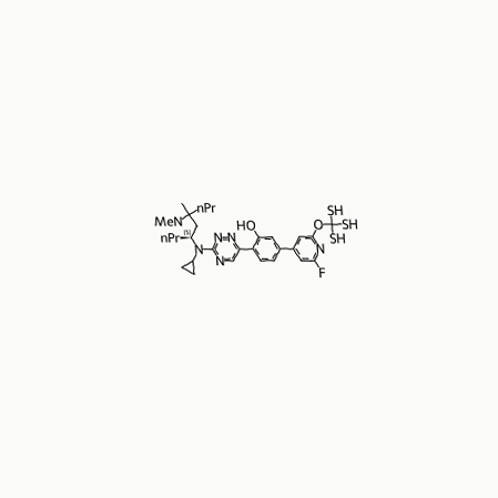 CCC[C@@H](CC(C)(CCC)NC)N(c1ncc(-c2ccc(-c3cc(F)nc(OC(S)(S)S)c3)cc2O)nn1)C1CC1